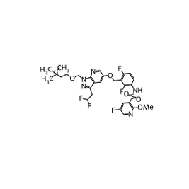 COc1ncc(F)cc1S(=O)(=O)Nc1ccc(F)c(COc2cnc3c(c2)c(CC(F)F)nn3COCC[Si](C)(C)C)c1F